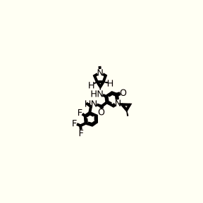 CC(NC(=O)c1cn([C@H]2C[C@H]2C)c(=O)cc1N[C@@H]1[C@@H]2CN(C)C[C@@H]21)c1cccc(C(F)F)c1F